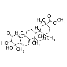 COC(=O)[C@]1(C)CC[C@]2(C)CC[C@]3(C)C4=CC=C5C(=CC(=O)C(O)C5(C)O)[C@]4(C)CC[C@@]3(C)[C@@H]2C1